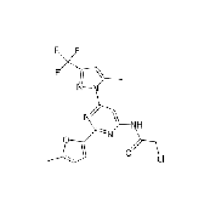 Cc1ccc(-c2nc(NC(=O)CCl)cc(-n3nc(C(F)(F)F)cc3C)n2)o1